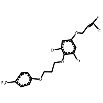 CCc1cc(OC/C=C(/F)Cl)cc(CC)c1OCCCOc1ccc(C(F)(F)F)cc1